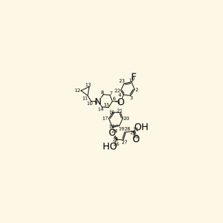 Fc1ccc(O[C@@H]2CCN(CC3CC3)C[C@H]2c2ccccc2)cc1.O=C(O)C=CC(=O)O